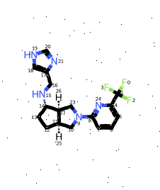 FC(F)(F)c1cccc(N2C[C@H]3CC[C@H](NCc4c[nH]cn4)[C@H]3C2)n1